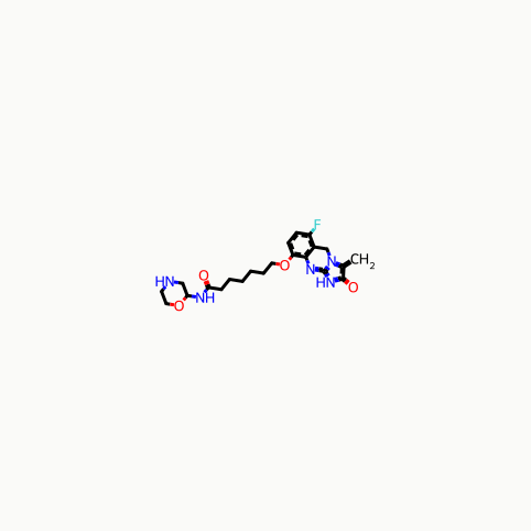 C=c1c(=O)[nH]c2n1Cc1c(F)ccc(OCCCCCCC(=O)NC3CNCCO3)c1N=2